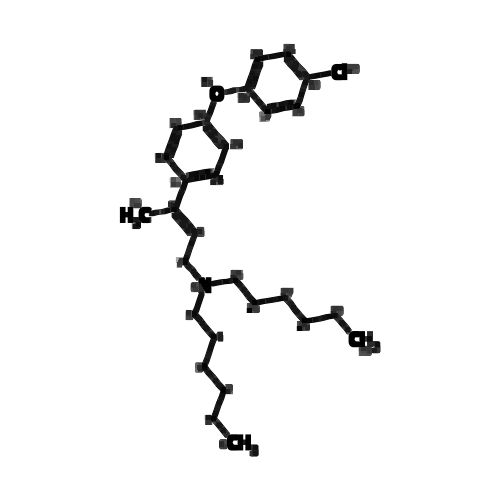 CCCCCCN(CC=C(C)c1ccc(Oc2ccc(Cl)cc2)cc1)CCCCCC